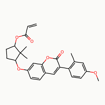 C=CC(=O)OC1CCC(Oc2ccc3cc(-c4ccc(OC)cc4C)c(=O)oc3c2)C1(C)C